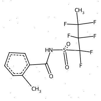 Cc1ccccc1C(=O)NS(=O)(=O)C(F)(F)C(F)(F)C(C)(F)F